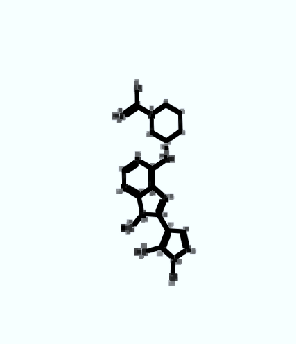 C=C(CC)N1CCC[C@H](Nc2ncnc3c2nc(-c2cnn(CC)c2C)n3C)C1